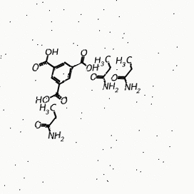 CCC(N)=O.CCC(N)=O.CCC(N)=O.O=C(O)c1cc(C(=O)O)cc(C(=O)O)c1